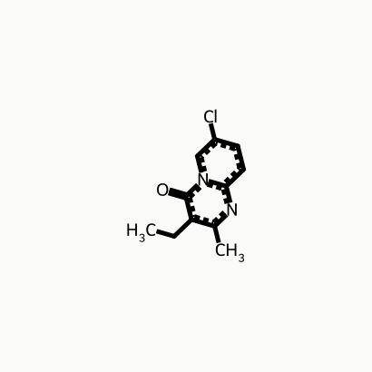 CCc1c(C)nc2ccc(Cl)cn2c1=O